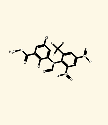 COC(=O)c1cc(Cl)cc(N(C=O)c2c([N+](=O)[O-])cc([N+](=O)[O-])cc2C(F)(F)F)c1Cl